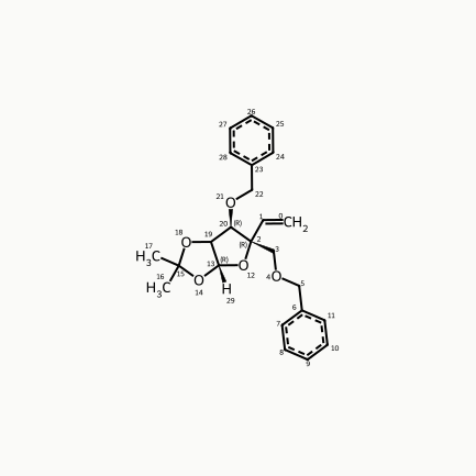 C=C[C@]1(COCc2ccccc2)O[C@@H]2OC(C)(C)OC2[C@H]1OCc1ccccc1